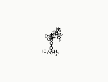 CCOC(=O)C1=C(CN2CCN3C(=O)N(c4ccc(-c5ccc(C(C)(C)C(=O)O)cc5)cc4)C[C@@H]3C2)NC(c2nccs2)=N[C@H]1c1ccc(F)cc1Br